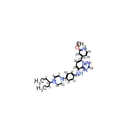 CCC(CC)N1CCN(c2ccc(Nc3ccc(-c4ccnc(OC)c4)n4ncnc34)cc2)CC1